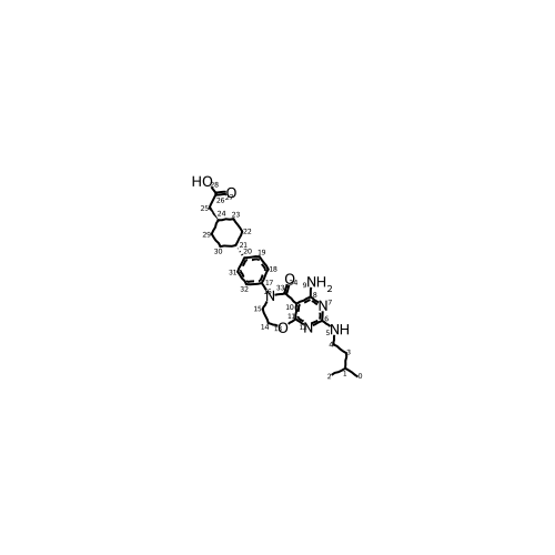 CC(C)CCNc1nc(N)c2c(n1)OCCN(c1ccc([C@H]3CC[C@H](CC(=O)O)CC3)cc1)C2=O